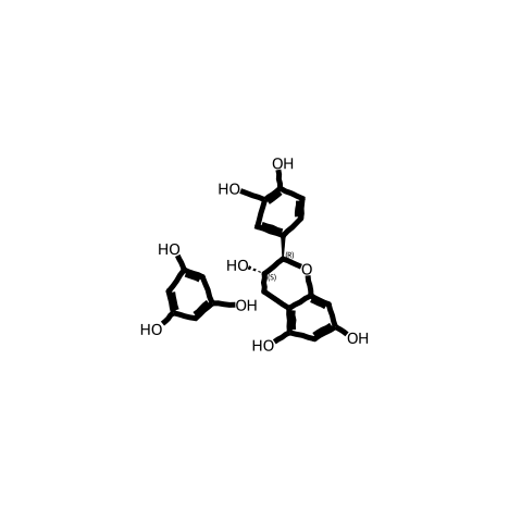 Oc1cc(O)c2c(c1)O[C@H](c1ccc(O)c(O)c1)[C@@H](O)C2.Oc1cc(O)cc(O)c1